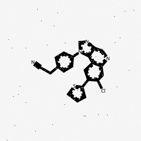 N#CCc1ccc(-n2cnc3cnc4cc(Cl)c(-c5cccs5)cc4c32)cc1